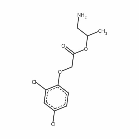 CC(CN)OC(=O)COc1ccc(Cl)cc1Cl